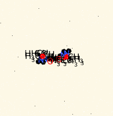 CC(C)(C)c1cc(-n2c3ccccc3c3cccc(N(c4ccccc4)c4ccc5c(c4)oc4cc6cc7oc8cc(N(c9ccccc9)c9cccc%10c%11ccccc%11n(-c%11cc(C(C)(C)C)cc(C(C)(C)C)c%11)c9%10)ccc8c7cc6cc45)c32)cc(C(C)(C)C)c1